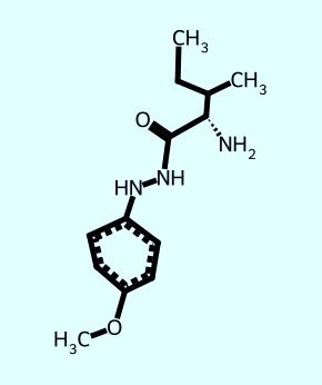 CCC(C)[C@H](N)C(=O)NNc1ccc(OC)cc1